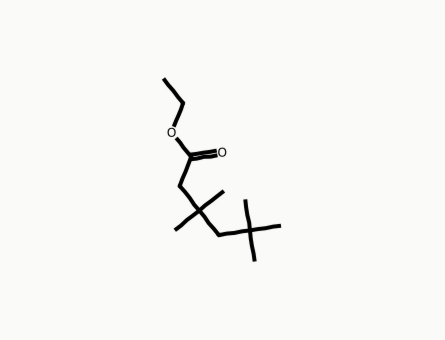 CCOC(=O)CC(C)(C)CC(C)(C)C